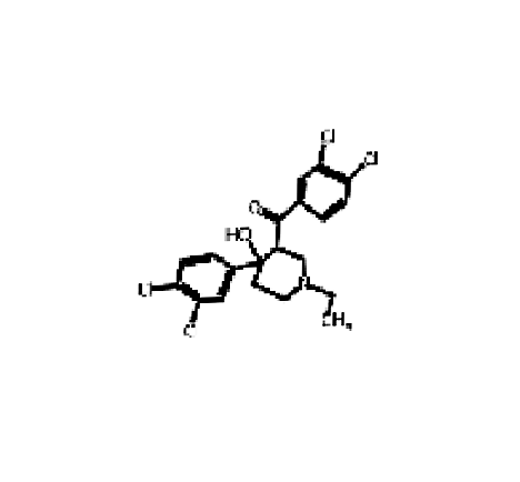 CCN1CCC(O)(c2ccc(Cl)c(Cl)c2)C(C(=O)c2ccc(Cl)c(Cl)c2)C1